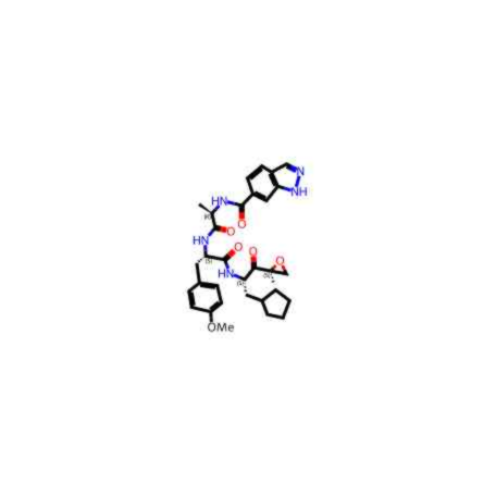 COc1ccc(C[C@H](NC(=O)[C@@H](C)NC(=O)c2ccc3cn[nH]c3c2)C(=O)N[C@@H](CC2CCCC2)C(=O)[C@]2(C)CO2)cc1